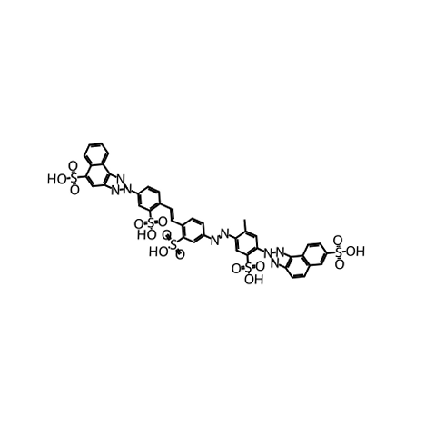 Cc1cc(-n2n3c4ccc5cc(S(=O)(=O)O)ccc5c4n23)c(S(=O)(=O)O)cc1N=Nc1ccc(C=Cc2ccc(-n3n4c5cc(S(=O)(=O)O)c6ccccc6c5n34)cc2S(=O)(=O)O)c(S(=O)(=O)O)c1